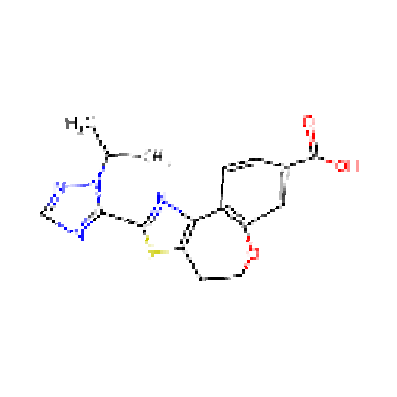 CC(C)n1ncnc1-c1nc2c(s1)CCOc1cc(C(=O)O)ccc1-2